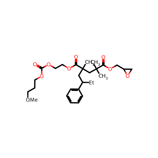 CCC(CC(C)(CC(C)(C)C(=O)OCC1CO1)C(=O)OCCOC(=O)OCCCOC)c1ccccc1